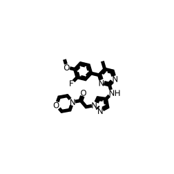 COc1ccc(-c2nc(Nc3cnn(CC(=O)N4CCOCC4)c3)ncc2C)cc1F